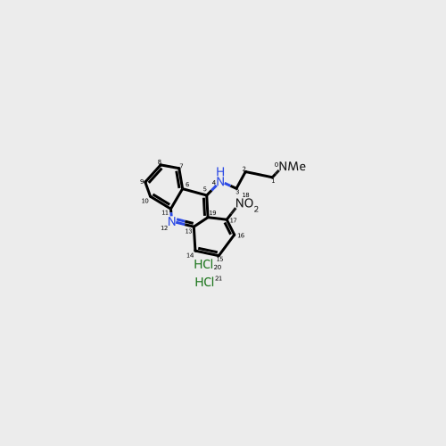 CNCCCNc1c2ccccc2nc2cccc([N+](=O)[O-])c12.Cl.Cl